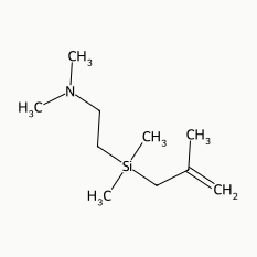 C=C(C)C[Si](C)(C)CCN(C)C